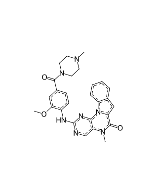 COc1cc(C(=O)N2CCN(C)CC2)ccc1Nc1ncc2c(n1)n1c(cc3ccccc31)c(=O)n2C